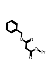 CC(C)OC(=O)CC(=O)OCc1ccccc1